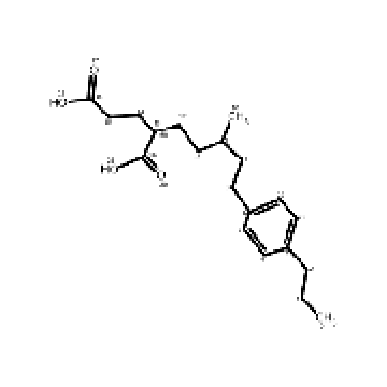 CCCc1ccc(CCC(C)CC[C@H](CCC(=O)O)C(=O)O)cc1